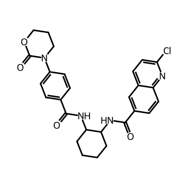 O=C(NC1CCCCC1NC(=O)c1ccc2nc(Cl)ccc2c1)c1ccc(N2CCCOC2=O)cc1